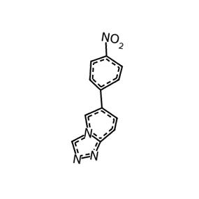 O=[N+]([O-])c1ccc(-c2ccc3nncn3c2)cc1